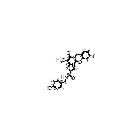 Cc1c(=O)n(Cc2ccc(F)cc2)c(=O)n2cc(C(=O)NCc3ccc(O)nc3)sc12